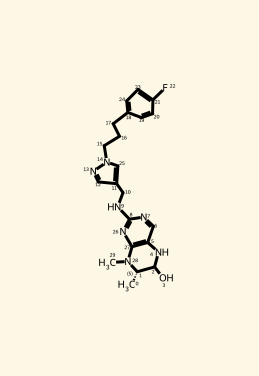 C[C@H]1C(O)Nc2cnc(NCc3cnn(CCCc4ccc(F)cc4)c3)nc2N1C